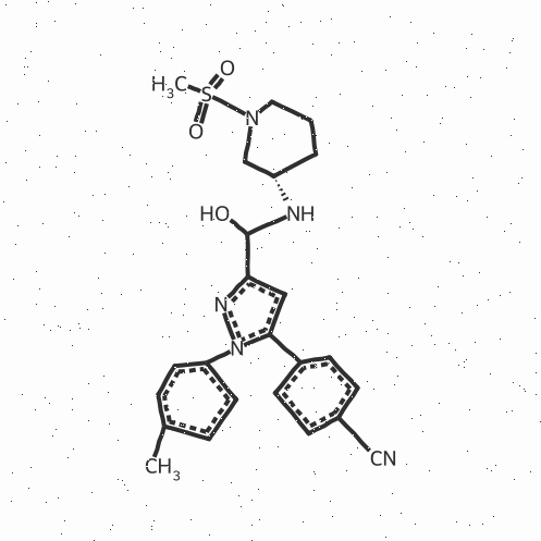 Cc1ccc(-n2nc(C(O)N[C@H]3CCCN(S(C)(=O)=O)C3)cc2-c2ccc(C#N)cc2)cc1